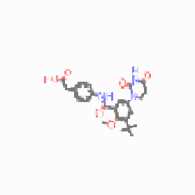 COc1c(C(=O)Nc2ccc(CC(=O)O)cc2)cc(N2CCC(=O)NC2=O)cc1C(C)(C)C